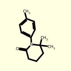 Cc1ccc(N2C(=O)CCCC2(C)C)cc1